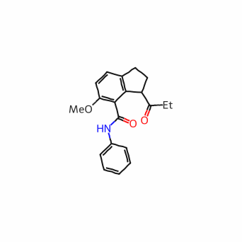 CCC(=O)C1CCc2ccc(OC)c(C(=O)Nc3ccccc3)c21